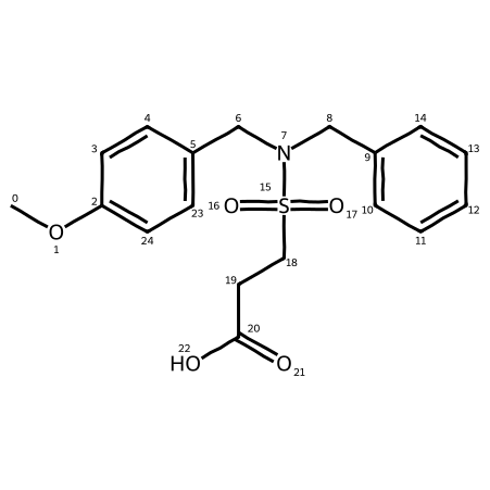 COc1ccc(CN(Cc2ccccc2)S(=O)(=O)CCC(=O)O)cc1